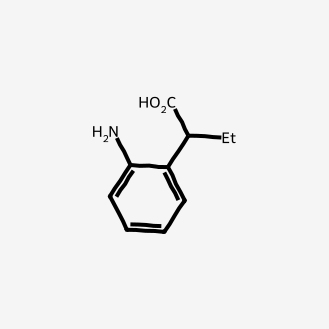 CCC(C(=O)O)c1ccccc1N